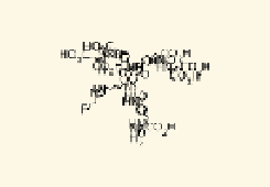 NC(=O)N[C@@H](Cc1ccc(NC(=O)CCC(CCC(=O)Nc2ccc(C[C@H](NC(=O)N[C@@H](CCC(=O)O)C(=O)O)C(=O)O)cc2)(CCC(=O)Nc2ccc(C[C@H](NC(=O)N[C@@H](CCC(=O)O)C(=O)O)C(=O)O)cc2)NC(=O)CCCCn2cc(CCCF)nn2)cc1)C(=O)O